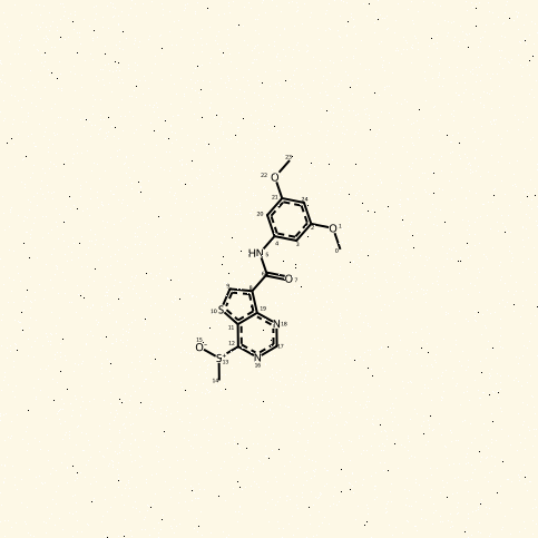 COc1cc(NC(=O)c2csc3c([S+](C)[O-])ncnc23)cc(OC)c1